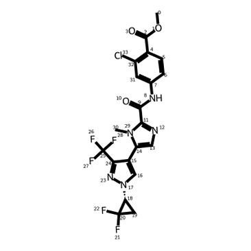 COC(=O)c1ccc(NC(=O)c2ncc(-c3cn([C@@H]4CC4(F)F)nc3C(F)(F)F)n2C)cc1Cl